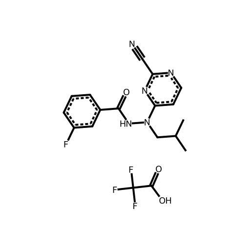 CC(C)CN(NC(=O)c1cccc(F)c1)c1ccnc(C#N)n1.O=C(O)C(F)(F)F